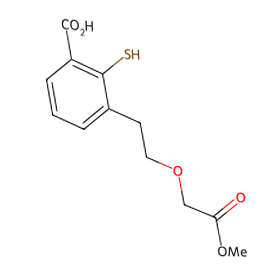 COC(=O)COCCc1cccc(C(=O)O)c1S